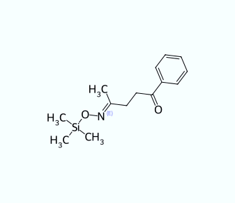 C/C(CCC(=O)c1ccccc1)=N\O[Si](C)(C)C